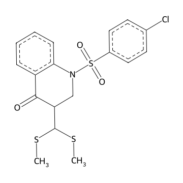 CSC(SC)C1CN(S(=O)(=O)c2ccc(Cl)cc2)c2ccccc2C1=O